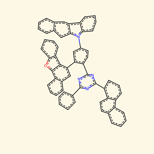 c1ccc(-c2nc(-c3ccc(-n4c5ccccc5c5cc6ccccc6cc54)cc3-c3cc4ccccc4c4oc5ccccc5c34)nc(-c3cccc4c3ccc3ccccc34)n2)cc1